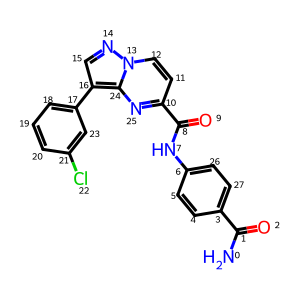 NC(=O)c1ccc(NC(=O)c2ccn3ncc(-c4cccc(Cl)c4)c3n2)cc1